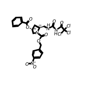 O=C(NC[C@@H]1C[C@@H](OC(=O)c2ccccc2)CN1C(=O)OCc1ccc([N+](=O)[O-])cc1)NC(=O)C(Cl)(Cl)Cl